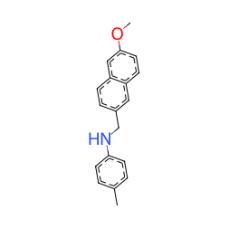 COc1ccc2cc(CNc3ccc(C)cc3)ccc2c1